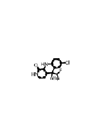 CCCCC1(C(F)F)c2cc(Cl)ccc2Nc2c1cc[nH]c2=O